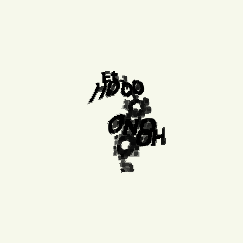 CCC(O)COC(=O)c1ccc2c(c1)C(=O)N(c1ccc(C)cc1O)C2=O